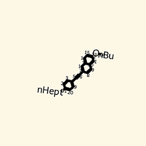 CCCCCCCc1ccc(C#Cc2ccc3cc(OCCCC)ccc3c2)cc1